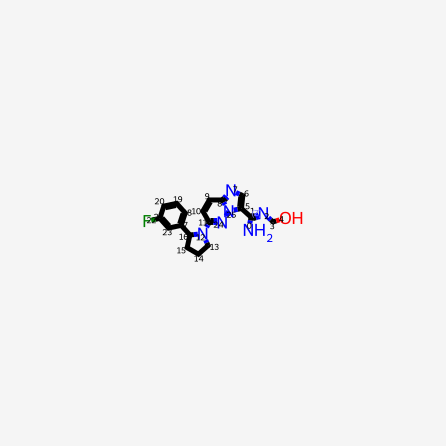 N/C(=N\CO)c1cnc2ccc(N3CCCC3c3cccc(F)c3)nn12